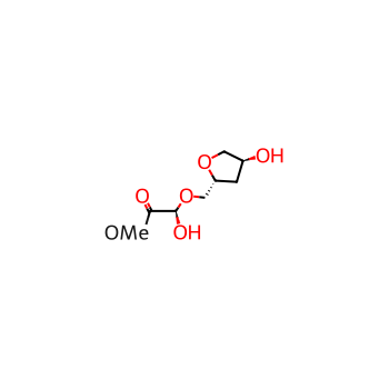 COC(=O)[C@H](O)OC[C@H]1C[C@H](O)CO1